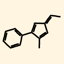 CC=C1[C]=C(c2ccccc2)C(C)=C1